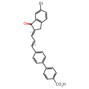 CCc1ccc2c(c1)C(=O)/C(=C/C=C/c1ccc(-c3ccc(C(=O)O)cc3)cc1)C2